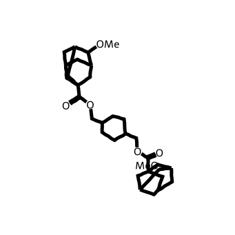 COC1C2CC3CC1CC(C(=O)OCC1CCC(COC(=O)C45CC6CC(C4)C(OC)C(C6)C5)CC1)(C3)C2